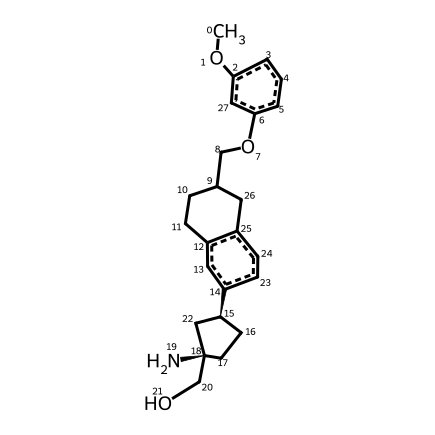 COc1cccc(OCC2CCc3cc([C@H]4CC[C@](N)(CO)C4)ccc3C2)c1